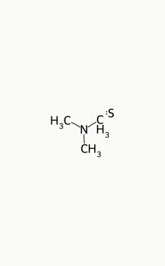 CN(C)C.[S]